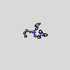 C1=CC(c2cccc(-c3cccc(-c4ccccc4)c3)c2)CC=C1c1nc(-c2cccc(-c3cccc(-n4c5ccccc5c5ccccc54)c3)c2)nc(-c2cccc(-c3cccc4ccccc34)c2)n1